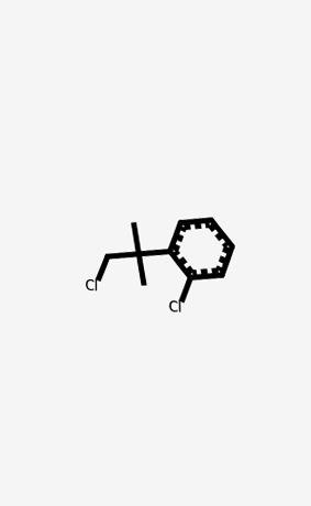 CC(C)(CCl)c1ccccc1Cl